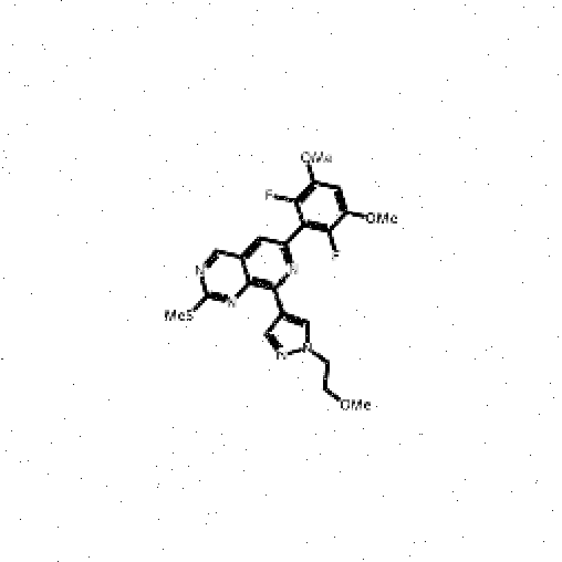 COCCn1cc(-c2nc(-c3c(F)c(OC)cc(OC)c3F)cc3cnc(SC)nc23)cn1